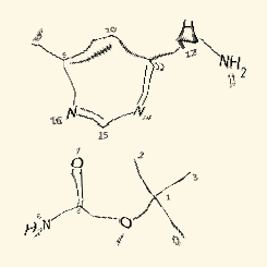 CC(C)(C)OC(N)=O.Cc1cc(NN)ncn1